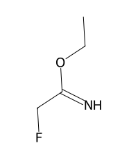 CCOC(=N)CF